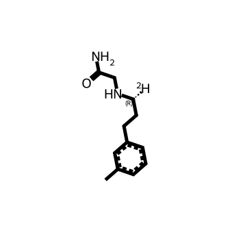 [2H][C@H](CCc1cccc(C)c1)NCC(N)=O